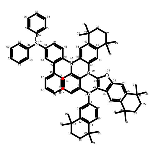 Cc1cc2c3c(c1)N(c1ccc4c(c1)C(C)(C)CCC4(C)C)c1c(oc4cc5c(cc14)C(C)(C)CCC5(C)C)B3c1cc3c(cc1N2c1ccc([SiH](c2ccccc2)c2ccccc2)cc1-c1ccccc1)C(C)(C)CCC3(C)C